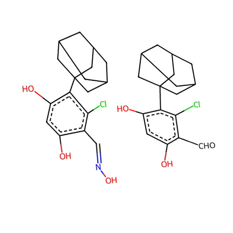 O=Cc1c(O)cc(O)c(C23CC4CC(CC(C4)C2)C3)c1Cl.ON=Cc1c(O)cc(O)c(C23CC4CC(CC(C4)C2)C3)c1Cl